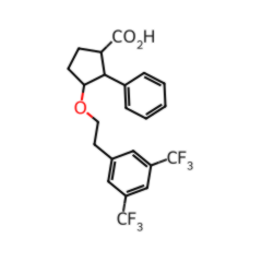 O=C(O)C1CCC(OCCc2cc(C(F)(F)F)cc(C(F)(F)F)c2)C1c1ccccc1